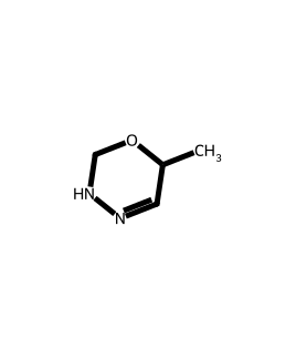 CC1C=NNCO1